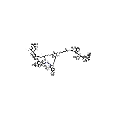 CCC(OC(C)COP(=O)(O)O)n1cc(C#CCNC(=O)CCCCCNC(=O)C(CSSCCCC(=O)OCC#Cc2cn(C3OC(COP(=O)(O)OP(=O)(O)OP(=O)(O)O)C(O)C3O)c3ncnc(N)c23)NC(=O)CCCCCN2/C(=C/C=C/C=C/C3=[N+](CC)c4ccc(S(=O)(=O)O)cc4C3(C)C)C(C)(C)c3cc(S(=O)(=O)O)ccc32)c(N)nc1=O